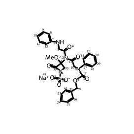 COC1(N(C(=O)CNc2ccccc2)C(=O)CN(C(=O)OCc2ccccc2)c2ccccc2)CN(S(=O)(=O)[O-])C1=O.[Na+]